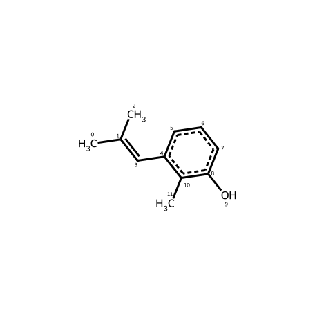 CC(C)=Cc1cccc(O)c1C